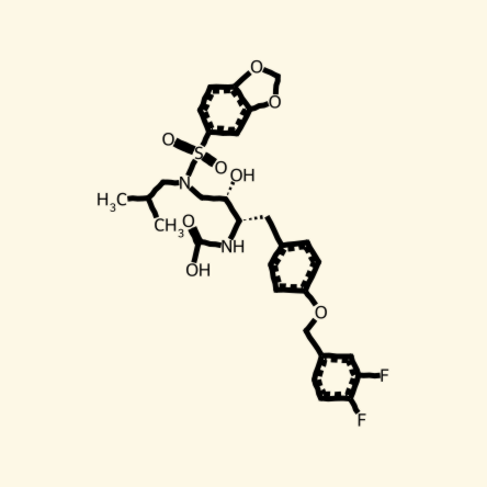 CC(C)CN(C[C@H](O)[C@H](Cc1ccc(OCc2ccc(F)c(F)c2)cc1)NC(=O)O)S(=O)(=O)c1ccc2c(c1)OCO2